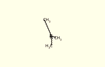 CCCCCCCCCCCCCCCCCN1C=CN(CCCCCCCC)C1CCCC